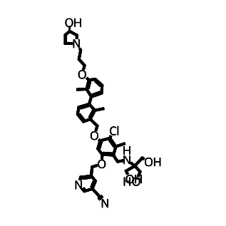 Cc1c(COc2cc(OCc3cncc(C#N)c3)c(CNC(CO)(CO)CO)c(C)c2Cl)cccc1-c1cccc(OCCCN2CC[C@@H](O)C2)c1C